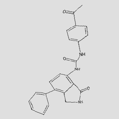 CC(=O)c1ccc(NC(=O)Nc2ccc(-c3ccccc3)c3c2C(=O)NC3)cc1